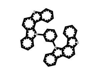 c1cc(-n2c3ccccc3c3ccc4sc5ccccc5c4c32)cc(-n2c3ccccc3c3ccc4sc5ccccc5c4c32)c1